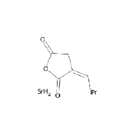 CC(C)C=C1CC(=O)OC1=O.[SrH2]